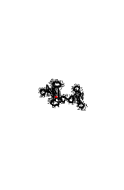 C1=CC2c3cc(-c4ccc5c(c4)C4C6=C(C=NC4N5c4ccccc4)CCC=C6)ccc3N(c3nc(-c4ccccc4)nc(-c4ccccc4)n3)C2C=C1